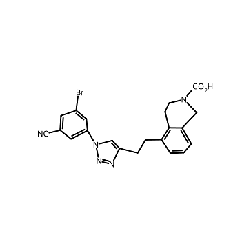 N#Cc1cc(Br)cc(-n2cc(CCc3cccc4c3CCN(C(=O)O)C4)nn2)c1